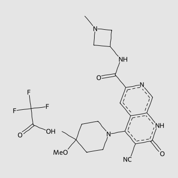 COC1(C)CCN(c2c(C#N)c(=O)[nH]c3cnc(C(=O)NC4CN(C)C4)cc23)CC1.O=C(O)C(F)(F)F